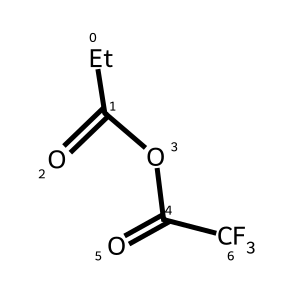 CCC(=O)OC(=O)C(F)(F)F